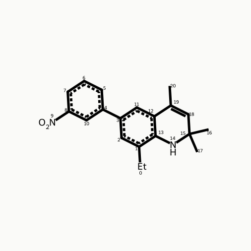 CCc1cc(-c2cccc([N+](=O)[O-])c2)cc2c1NC(C)(C)C=C2C